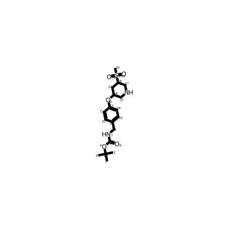 CC(C)(C)OC(=O)NCc1ccc(OC2CNCC(S(C)(=O)=O)C2)cc1